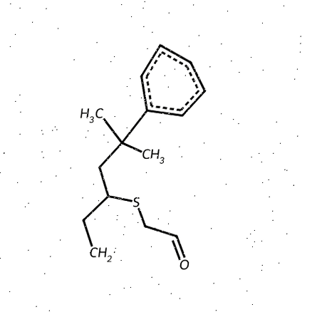 [CH2]CC(CC(C)(C)c1ccccc1)SCC=O